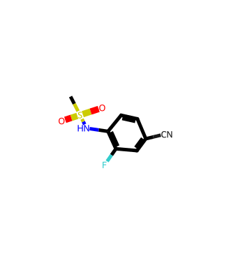 CS(=O)(=O)Nc1ccc(C#N)cc1F